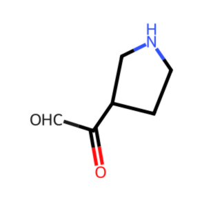 O=CC(=O)C1CCNC1